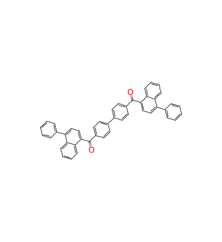 O=C(c1ccc(-c2ccc(C(=O)c3ccc(-c4ccccc4)c4ccccc34)cc2)cc1)c1ccc(-c2ccccc2)c2ccccc12